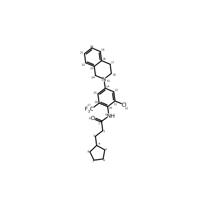 O=C(CCC1CCCC1)Nc1c(Cl)cc(N2CCc3ccccc3C2)cc1C(F)(F)F